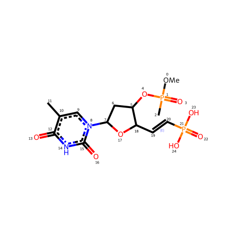 COP(C)(=O)OC1CC(n2cc(C)c(=O)[nH]c2=O)OC1/C=C/P(=O)(O)O